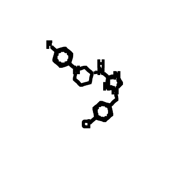 Fc1ccc(N2CCC[C@@H](Nc3ncn(Cc4ccc(Cl)cc4)n3)C2)cc1